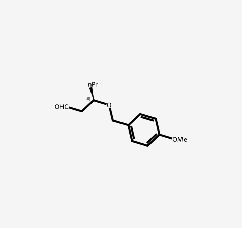 CCC[C@H](CC=O)OCc1ccc(OC)cc1